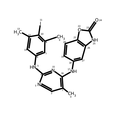 Cc1cnc(Nc2cc(C)c(I)c(C)c2)nc1Nc1ccc2oc(=O)[nH]c2c1